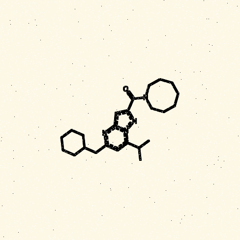 CC(C)c1cc(CC2CCCCC2)nc2cc(C(=O)N3CCCCCCC3)nn12